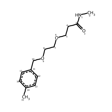 CNC(=O)CCOCCOCc1ccc(C)cc1